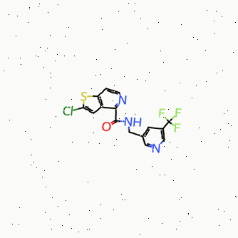 O=C(NCc1cncc(C(F)(F)F)c1)c1nccc2sc(Cl)cc12